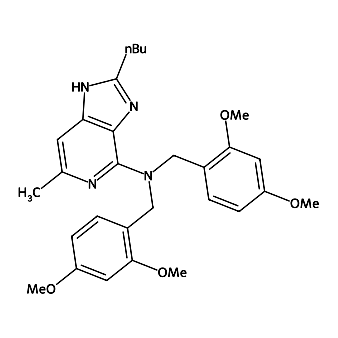 CCCCc1nc2c(N(Cc3ccc(OC)cc3OC)Cc3ccc(OC)cc3OC)nc(C)cc2[nH]1